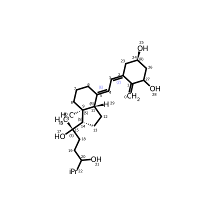 C=C1/C(=C\C=C2/CCC[C@@]3(C)[C@H]2CC[C@@H]3[C@@](C)(O)CCC(O)C(C)C)C[C@@H](O)CC1O